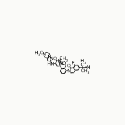 CN1CCn2nc(Nc3cc(-c4cccc(-n5ccc6cc(C(C)(C)C#N)cc(F)c6c5=O)c4CO)nn(C)c3=O)cc2C1